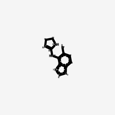 Brc1ccc2nsnc2c1NC1=NCCN1